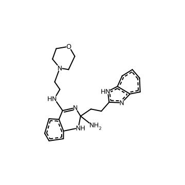 NC1(CCc2nc3ccccc3[nH]2)N=C(NCCN2CCOCC2)c2ccccc2N1